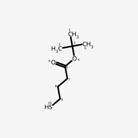 CC(C)(C)OC(=O)CCCS